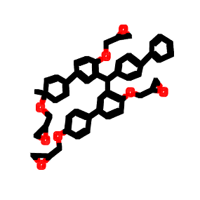 CC1(OCC2CO2)C=CC(c2ccc(OCC3CO3)c(C(c3ccc(-c4ccccc4)cc3)c3cc(-c4ccc(OCC5CO5)cc4)ccc3OCC3CO3)c2)=CC1